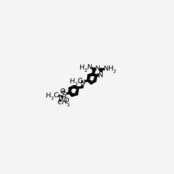 CN(Cc1ccc(S(=O)(=O)N(C)C)cc1)c1ccc2nc(N)nc(N)c2c1